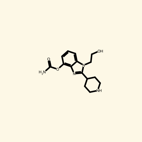 NC(=O)Oc1cccc2c1nc(C1CCNCC1)n2CCO